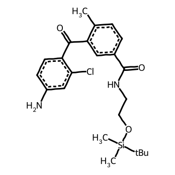 Cc1ccc(C(=O)NCCO[Si](C)(C)C(C)(C)C)cc1C(=O)c1ccc(N)cc1Cl